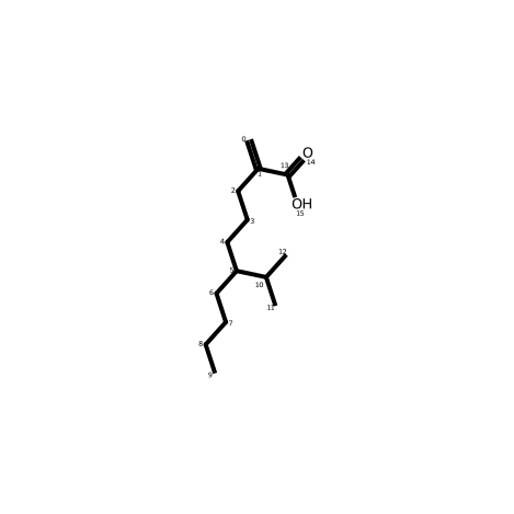 C=C(CCCC(CCCC)C(C)C)C(=O)O